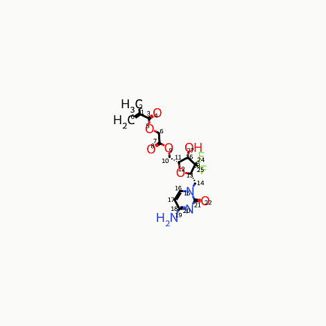 C=C(C)C(=O)OCC(=O)OC[C@H]1O[C@@H](Cn2ccc(N)nc2=O)C(F)(F)[C@@H]1O